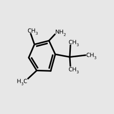 Cc1cc(C)c(N)c(C(C)(C)C)c1